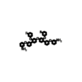 Nc1cccc(Oc2cccc(-c3ccc(Oc4ccc(-c5cccc(Oc6cccc(N)c6)c5)c(Oc5cccc(F)c5)c4)cc3Oc3cccc(F)c3)c2)c1